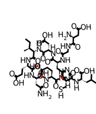 CC[C@H](C)[C@H](NC(=O)[C@H](CC(=O)O)NC(=O)[C@H](Cc1c[nH]cn1)NC(=O)CNC(=O)[C@@H](N)CC(=O)O)C(=O)N[C@@H](CCC(=O)O)C(=O)N[C@@H](CC(N)=O)C(=O)N[C@@H](CCC(=O)O)C(=O)N[C@@H](CS)C(=O)N[C@@H](CC(C)C)C(=O)O